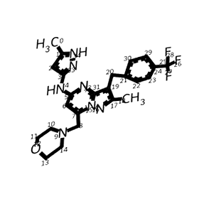 Cc1cc(Nc2cc(CN3CCOCC3)n3nc(C)c(Cc4ccc(C(F)(F)F)cc4)c3n2)n[nH]1